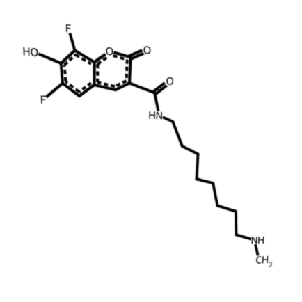 CNCCCCCCCCNC(=O)c1cc2cc(F)c(O)c(F)c2oc1=O